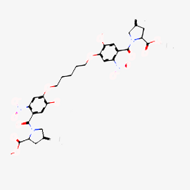 C=C1CC(C(=O)OC)N(C(=O)c2cc(OC)c(OCCCCCOc3cc([N+](=O)[O-])c(C(=O)N4CC(=C)CC4C(=O)OC)cc3OC)cc2[N+](=O)[O-])C1